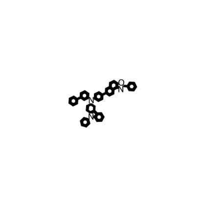 C1=CC(N(c2ccc(-c3ccc4c(ccc5oc(-c6ccccc6)nc54)c3)cc2)c2cccc(-c3ccccc3)c2)Cc2c1n(-c1ccccc1)c1ccccc21